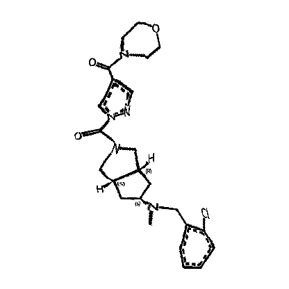 CN(Cc1ccccc1Cl)[C@H]1C[C@@H]2CN(C(=O)n3cc(C(=O)N4CCOCC4)cn3)C[C@@H]2C1